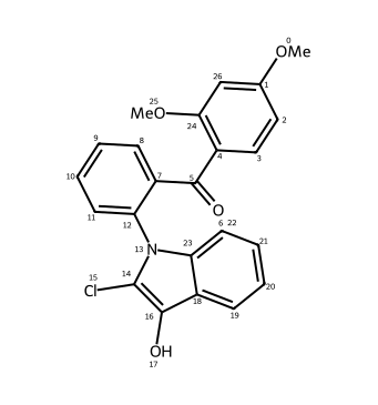 COc1ccc(C(=O)c2ccccc2-n2c(Cl)c(O)c3ccccc32)c(OC)c1